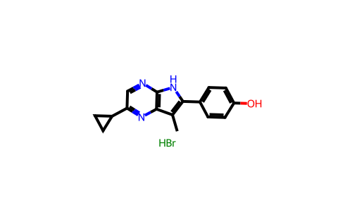 Br.Cc1c(-c2ccc(O)cc2)[nH]c2ncc(C3CC3)nc12